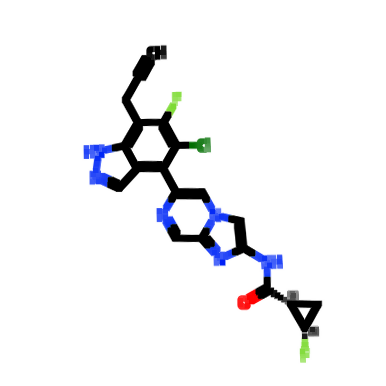 C#CCc1c(F)c(Cl)c(-c2cn3cc(NC(=O)[C@@H]4C[C@@H]4F)nc3cn2)c2cn[nH]c12